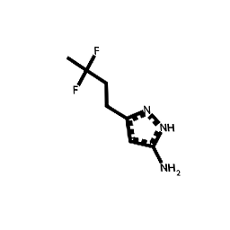 CC(F)(F)CCc1cc(N)[nH]n1